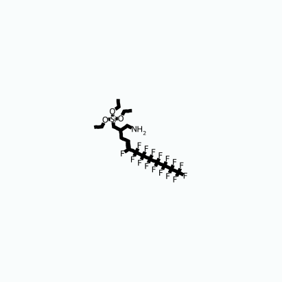 CCO[Si](CC(CN)CC=C(F)C(F)(F)C(F)(F)C(F)(F)C(F)(F)C(F)(F)C(F)(F)C(F)(F)F)(OCC)OCC